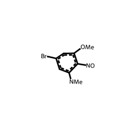 CNc1cc(Br)cc(OC)c1N=O